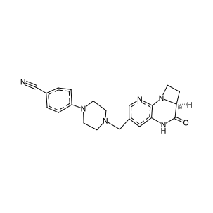 N#Cc1ccc(N2CCN(Cc3cnc4c(c3)NC(=O)[C@@H]3CCN43)CC2)cc1